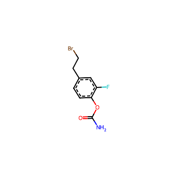 NC(=O)Oc1ccc(CCBr)cc1F